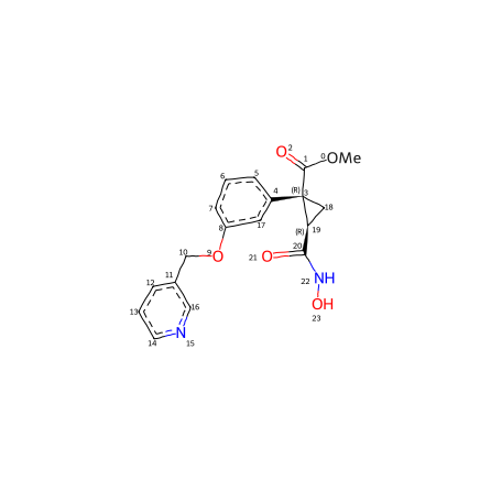 COC(=O)[C@]1(c2cccc(OCc3cccnc3)c2)C[C@H]1C(=O)NO